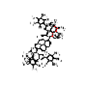 BC/C(=C(B)\C(B)=C(\B)C#C)N(C1=C2C=CC3=CC=C(N(C4=C(c5c(B)c(B)c(B)c(B)c5B)C=C(c5c(B)c(B)c(B)c(B)c5B)C4)/C(C(B)=C)=C(B)/C(B)=C(/B)C)C4=CC=C(C=C1)C2C34)/C(C#C)=C(/C=C(\C)c1c(B)c(B)c(B)c(B)c1B)c1c(B)c(B)c(B)c(B)c1B